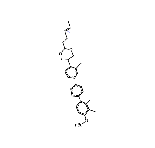 C/C=C/CCC1OCC(c2ccc(-c3ccc(-c4ccc(OCCCC)c(F)c4F)cc3)cc2F)CO1